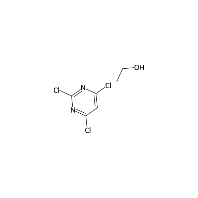 CCO.Clc1cc(Cl)nc(Cl)n1